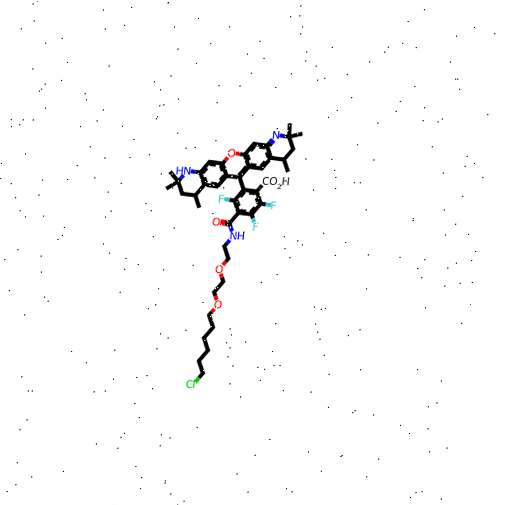 CC1CC(C)(C)Nc2cc3c(cc21)C(c1c(F)c(C(=O)NCCOCCOCCCCCCCl)c(F)c(F)c1C(=O)O)=c1cc2c(cc1O3)=NC(C)(C)CC2C